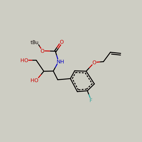 C=CCOc1cc(F)cc(CC(NC(=O)OC(C)(C)C)C(O)CO)c1